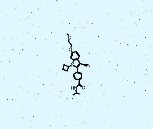 COCCOc1ccc2c(C#N)c(-c3ccc(C(=O)NC(C)C)cc3)n(C3CCC3)c2c1